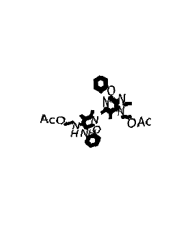 CC(=O)OCCNc1c(C)c(C)nc(Oc2ccccc2)c1N.CC(=O)OCCn1c(C)nc2c(Oc3ccccc3)nc(C)c(C)c21